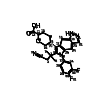 CC(C)(CC#N)c1c([C@H]2CC[C@H](C(=O)O)OC2)c2cc3[nH]ncc3cc2n1-c1ccc(F)c(F)c1